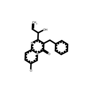 C=CC(O)c1nc2ccc(Cl)cn2c(=O)c1Cc1ccccc1